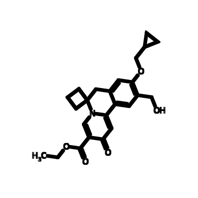 CCOC(=O)c1cn2c(cc1=O)-c1cc(CO)c(OCC3CC3)cc1CC21CCC1